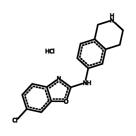 Cl.Clc1ccc2nc(Nc3ccc4c(c3)CCNC4)oc2c1